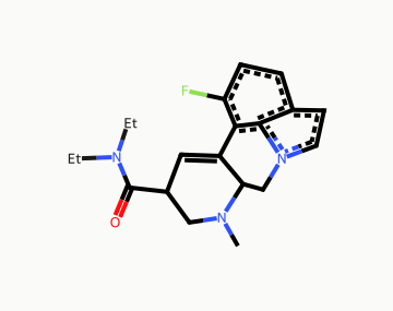 CCN(CC)C(=O)C1C=C2c3c(F)ccc4ccn(c34)CC2N(C)C1